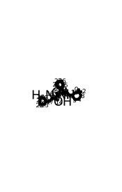 CC1(C)CCCC(CCN(NC(=O)C(O)[C@H](N)CC2CCCCC2)c2ccccc2)C1